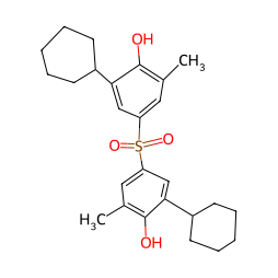 Cc1cc(S(=O)(=O)c2cc(C)c(O)c(C3CCCCC3)c2)cc(C2CCCCC2)c1O